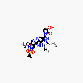 C=C/C=N\C(N)(c1cnn(S(=O)(=O)C2CC2)c1)c1cc2c(cn1)c(N1CC[C@@H](O)C1=O)nn2C(C)C